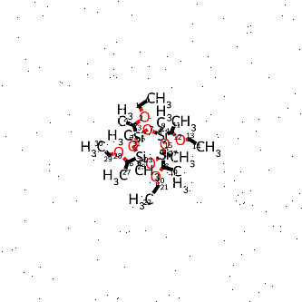 CCOC(C)[Si]1(C)O[Si](C)(C(C)OCC)O[Si](C)(C(C)OCC)O[Si](C)(C(C)OCC)O1